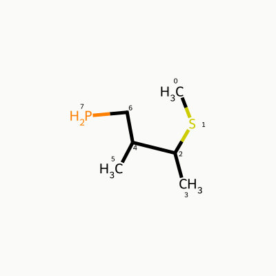 CSC(C)C(C)CP